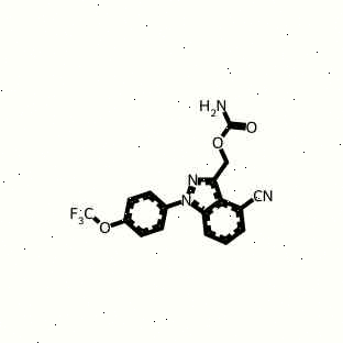 N#Cc1cccc2c1c(COC(N)=O)nn2-c1ccc(OC(F)(F)F)cc1